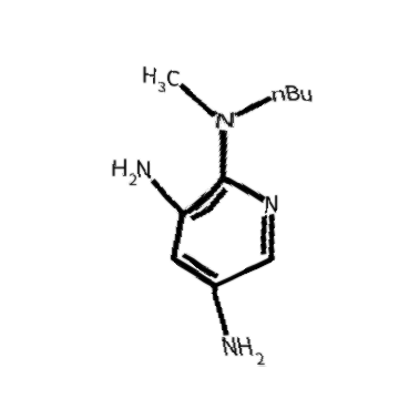 CCCCN(C)c1ncc(N)cc1N